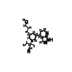 CCC(C)(C#N)c1cc(CCCOC)cc(-c2ccnc3[nH]ncc23)c1